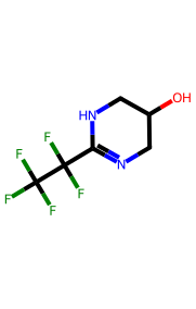 OC1CN=C(C(F)(F)C(F)(F)F)NC1